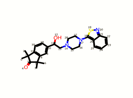 CC1(C)C(=O)C(C)(C)c2cc(C(O)CN3CCN(c4snc5ccccc45)CC3)ccc21